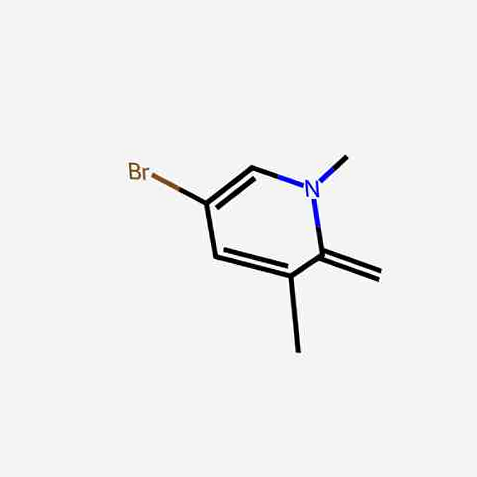 C=C1C(C)=CC(Br)=CN1C